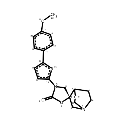 O=C1O[C@]2(CN3CCC2CC3)CN1c1ccc(-c2ccc(OC(F)(F)F)cc2)s1